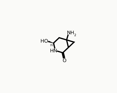 NC12CC1C(=O)N[C@@H](O)C2